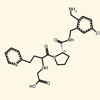 NCc1ccc(Cl)cc1CNC(=O)[C@@H]1CCCN1C(=O)C(CCc1ccccn1)NCC(=O)O